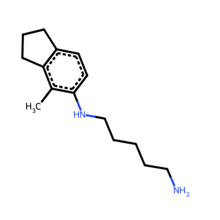 Cc1c(NCCCCCN)ccc2c1CCC2